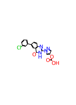 O=C(O)Oc1cnn(-c2nc3ccc(-c4cccc(Cl)c4)cc3c(=O)[nH]2)c1